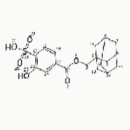 O=C(OCC12CC3CC(CC(C3)C1)C2)c1ccc(S(=O)(=O)O)c(O)c1